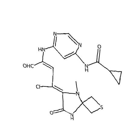 CN1/C(=C(Cl)\C=C(/C=O)Nc2cc(NC(=O)C3CC3)ncn2)C(=O)NC12CSC2